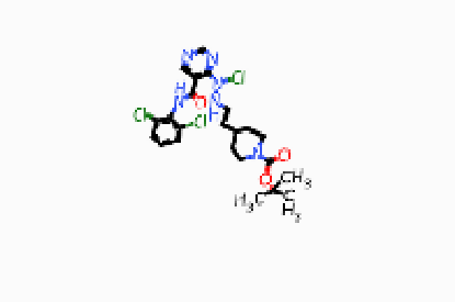 CC(C)(C)OC(=O)N1CCC(CCNN(Cl)c2ncncc2C(=O)Nc2c(Cl)cccc2Cl)CC1